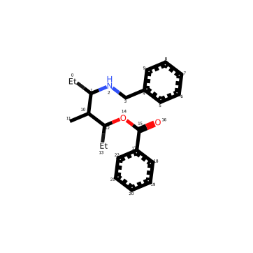 CCC(NCc1ccccc1)C(C)C(CC)OC(=O)c1ccccc1